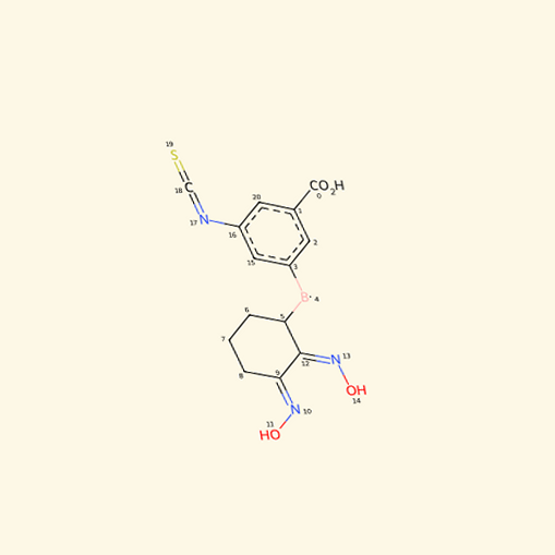 O=C(O)c1cc([B]C2CCCC(=NO)C2=NO)cc(N=C=S)c1